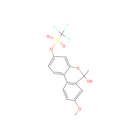 COc1ccc2c(c1)C(C)(O)Oc1cc(OS(=O)(=O)C(F)(F)F)ccc1-2